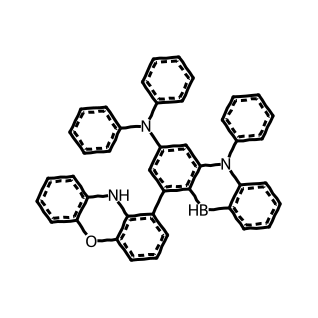 B1c2ccccc2N(c2ccccc2)c2cc(N(c3ccccc3)c3ccccc3)cc(-c3cccc4c3Nc3ccccc3O4)c21